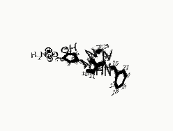 NS(=O)(=O)OC[C@@H]1C[C@@H](n2ccc3c(NCC4CCCCC4)ncnc32)C[C@@H]1O